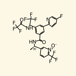 C[C@@H](NC(=O)c1cc(-c2ccc(F)cn2)cc(C(NC(=O)C(F)(F)F)C(F)(F)F)c1)c1ccc(C(F)(F)F)[n+]([O-])c1